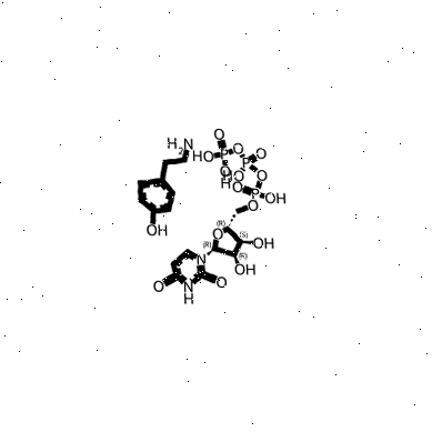 NCCc1ccc(O)cc1.O=c1ccn([C@@H]2O[C@H](COP(=O)(O)OP(=O)(O)OP(=O)(O)O)[C@@H](O)[C@H]2O)c(=O)[nH]1